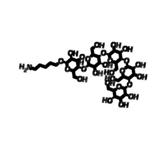 NCCCCCO[C@@H]1OC(CO)[C@@H](O[C@H]2OC(CO)[C@H](O[C@H]3OC(CO)[C@@H](O[C@@H]4OC(CO)[C@@H](O[C@@H]5OC(CO)[C@@H](O)C(O)[C@@H]5O)C(O)[C@@H]4O)[C@H](O)C3O)[C@H](O)C2O)C(O)[C@@H]1O